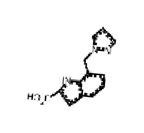 O=C(O)c1cc2cccc(Cn3cccn3)c2[nH]1